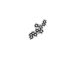 C1=Cc2ccc(-c3nc(-c4ccccc4)nc(-c4cccc5oc6c(-c7cccc8c7ccc7ccc9ccccc9c78)cccc6c45)n3)cc2CC1